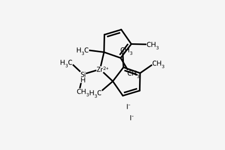 CC1=C(C)[C](C)([Zr+2]([SiH](C)C)[C]2(C)C=CC(C)=C2C)C=C1.[I-].[I-]